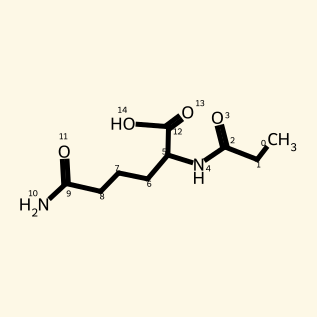 CCC(=O)NC(CCCC(N)=O)C(=O)O